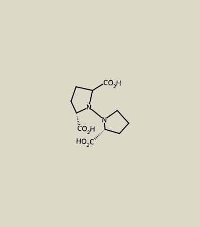 O=C(O)C1CC[C@@H](C(=O)O)N1N1CCC[C@@H]1C(=O)O